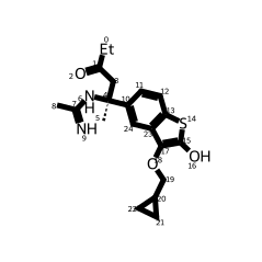 CCC(=O)C[C@](C)(NC(C)=N)c1ccc2sc(O)c(OCC3CC3)c2c1